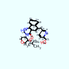 CC(C)(C)[Si](C)(C)O[C@H]1COCC[C@@H]1N1CNc2c(cc(Cc3ccc(CO)nc3)c3ccccc23)C1=O